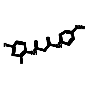 CNc1ccc(NC(=O)CC(=O)Nc2ccc(F)cc2C)cc1